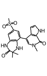 Cn1cc(-c2cc(S(C)(=O)=O)cc3c2NC(C)(C)C(=O)N3)c2cc[nH]c2c1=O